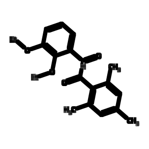 CCOc1cccc([PH](=O)C(=O)c2c(C)cc(C)cc2C)c1OCC